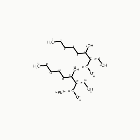 CCCCCC(O)[C@H](CO)O[O-].CCCCCC(O)[C@H](CO)O[O-].[Pb+2]